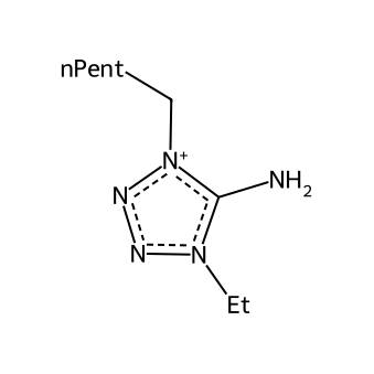 CCCCCC[n+]1nnn(CC)c1N